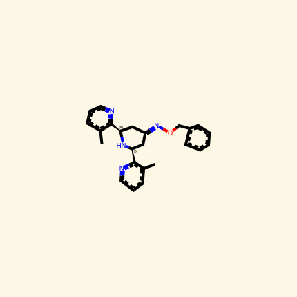 Cc1cccnc1[C@@H]1CC(=NOCc2ccccc2)C[C@H](c2ncccc2C)N1